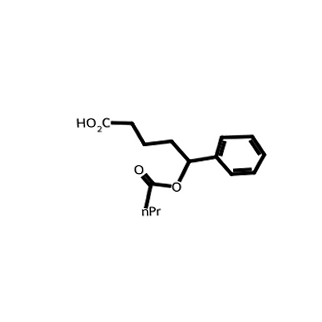 CCCC(=O)OC(CCCC(=O)O)c1ccccc1